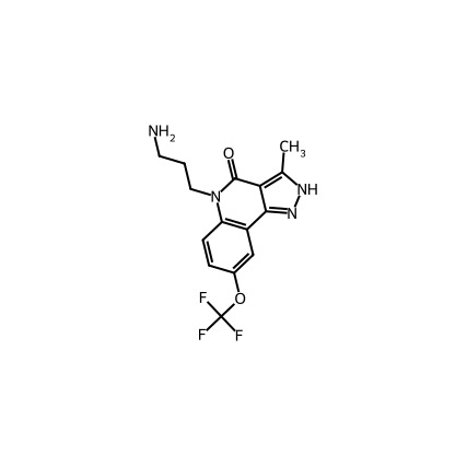 Cc1[nH]nc2c1c(=O)n(CCCN)c1ccc(OC(F)(F)F)cc21